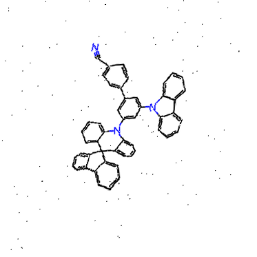 N#Cc1ccc(-c2cc(N3c4ccccc4C4(c5ccccc5-c5ccccc54)c4ccccc43)cc(-n3c4ccccc4c4ccccc43)c2)cc1